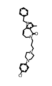 Cc1cn(Cc2ccccc2)c2c1C(=O)N(CCCN1CCN(c3ccc(Cl)cc3)CC1)CC=C2